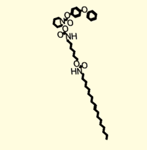 CCCCCCCCC=CCCCCCCCCNC(=O)OCCCCCCNC(=O)OC1CCCCN1C(=O)Oc1ccc(Oc2ccccc2)cc1